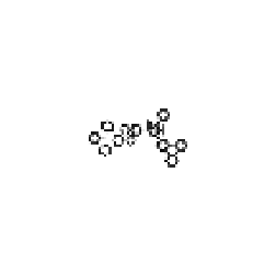 c1ccc(-c2nc(-c3ccc4c(c3)Oc3ccc5c(c3O4)-c3ccccc3C5(c3ccccc3)c3ccccc3)cc(-c3ccc4c5ccccc5c5ccccc5c4c3)n2)cc1